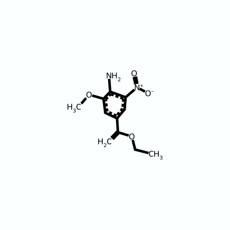 C=C(OCC)c1cc(OC)c(N)c([N+](=O)[O-])c1